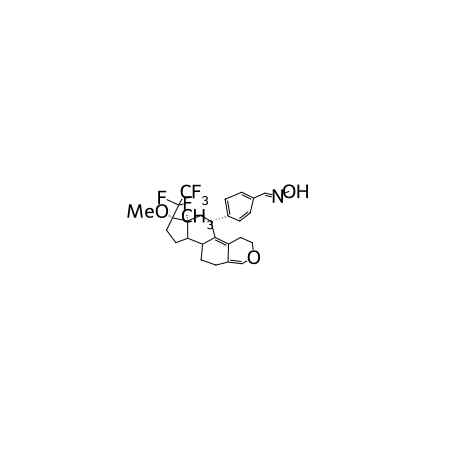 CO[C@@]1(C(F)(F)C(F)(F)F)CCC2C3CCC4=COCCC4=C3[C@@H](c3ccc(C=NO)cc3)C[C@@]21C